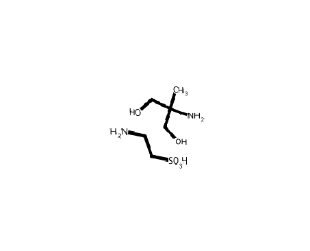 CC(N)(CO)CO.NCCS(=O)(=O)O